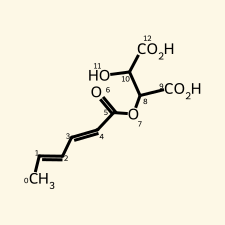 C/C=C/C=C/C(=O)OC(C(=O)O)C(O)C(=O)O